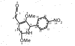 COC1=NC(C=C=O)=C(OC)C(c2ccc([N+](=O)[O-])cc2)N1